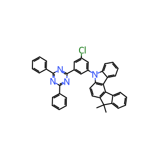 CC1(C)c2ccccc2-c2c1ccc1c2c2ccccc2n1-c1cc(Cl)cc(-c2nc(-c3ccccc3)nc(-c3ccccc3)n2)c1